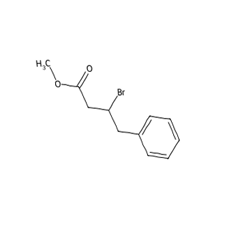 COC(=O)CC(Br)Cc1ccccc1